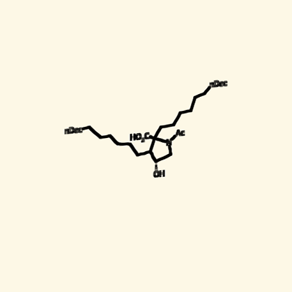 CCCCCCCCCCCCCCCCC1[C@@H](O)CN(C(C)=O)[C@]1(CCCCCCCCCCCCCCCC)C(=O)O